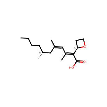 CCCC[C@@H](C)CC(C)=CC(C)=C(C(=O)O)[C@H]1CCO1